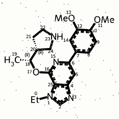 CCn1cnc2cc(-c3ccc(OC)c(OC)c3)nc(O[C@H](C)[C@@H]3CCNC3)c21